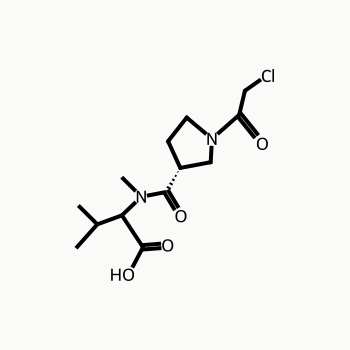 CC(C)C(C(=O)O)N(C)C(=O)[C@@H]1CCN(C(=O)CCl)C1